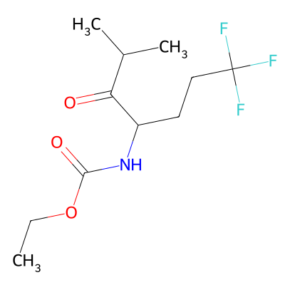 CCOC(=O)NC(CCC(F)(F)F)C(=O)C(C)C